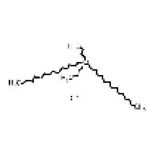 CCCCCCCCCCCCCCC[N+](CCCC)(CCCC)CCCCCCCCCCCCCCC.[Cl-]